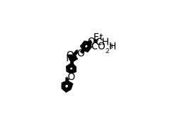 CCC(C)(Oc1ccc(OCc2cc(-c3ccc(OCc4ccccc4)cc3)no2)cc1)C(=O)O